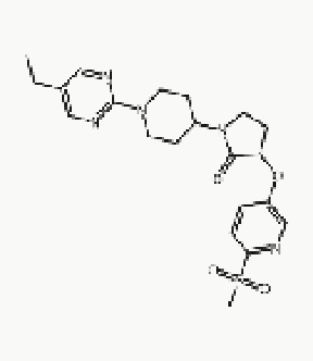 CCc1cnc(N2CCC(N3CCC(Oc4ccc(S(C)(=O)=O)nc4)C3=O)CC2)nc1